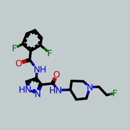 O=C(NC1CCN(CCF)CC1)c1n[nH]cc1NC(=O)c1c(F)cccc1F